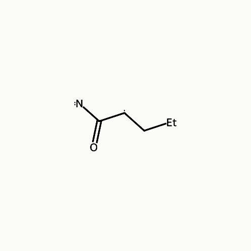 CCC[CH]C([N])=O